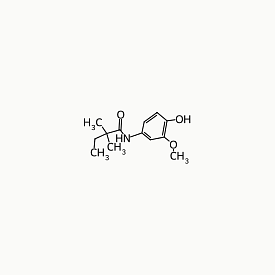 CCC(C)(C)C(=O)Nc1ccc(O)c(OC)c1